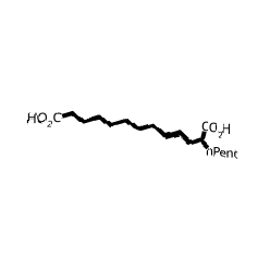 CCCCCC(CC=CCCCCCCCC(=O)O)C(=O)O